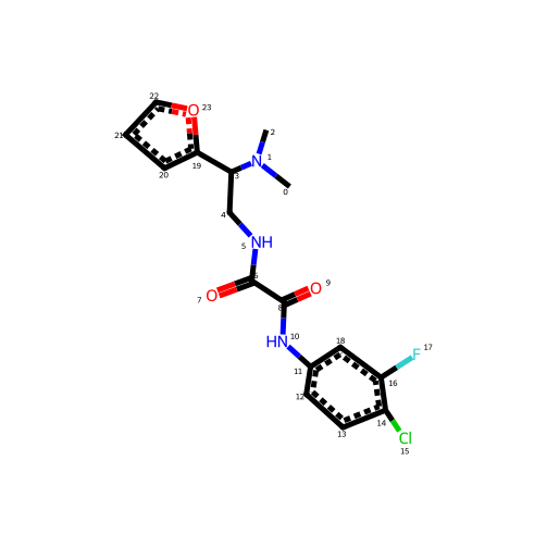 CN(C)C(CNC(=O)C(=O)Nc1ccc(Cl)c(F)c1)c1ccco1